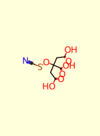 N#CSOC(CC(=O)O)(CC(=O)O)C(=O)O